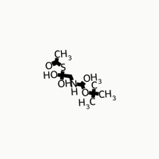 CC(=O)SC(O)(O)CNC(=O)OC(C)(C)C